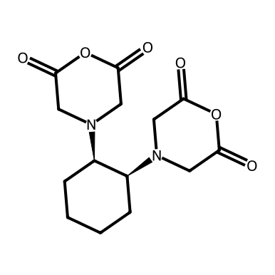 O=C1CN([C@@H]2CCCC[C@@H]2N2CC(=O)OC(=O)C2)CC(=O)O1